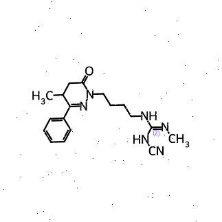 C/N=C(\NC#N)NCCCCN1N=C(c2ccccc2)C(C)CC1=O